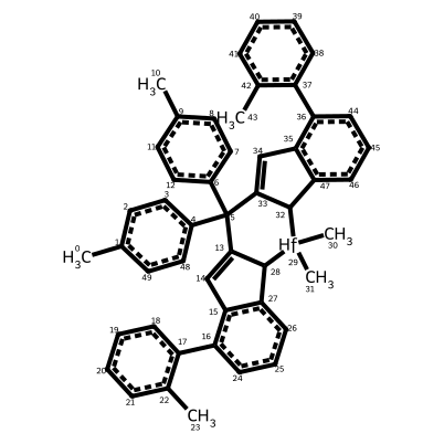 Cc1ccc(C2(c3ccc(C)cc3)C3=Cc4c(-c5ccccc5C)cccc4[CH]3[Hf]([CH3])([CH3])[CH]3C2=Cc2c(-c4ccccc4C)cccc23)cc1